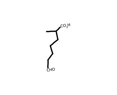 CC(CCCCC=O)C(=O)O